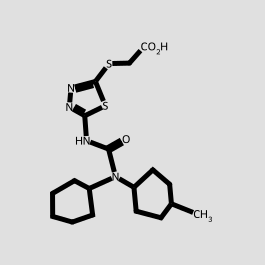 CC1CCC(N(C(=O)Nc2nnc(SCC(=O)O)s2)C2CCCCC2)CC1